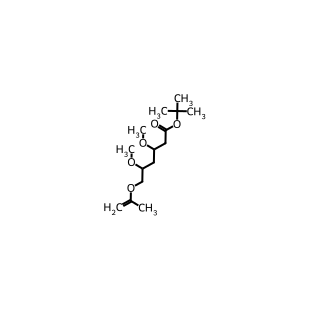 C=C(C)OCC(CC(CC(=O)OC(C)(C)C)OC)OC